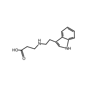 O=C(O)CCNCCc1c[nH]c2ccccc12